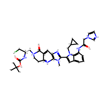 Cn1c(-c2cc3cccc(NC(=O)Cn4ccnc4)c3n2CC2CC2)nc2cc3c(nc21)CCN(C[C@@H](CF)NC(=O)OC(C)(C)C)C3=O